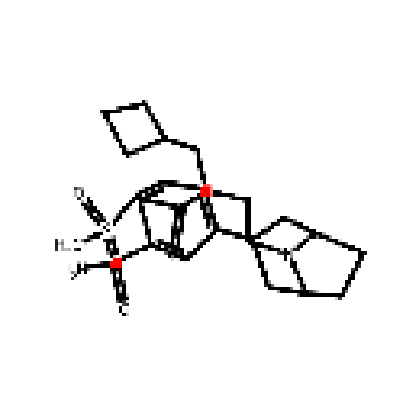 CS(=O)(=O)CC(=O)N(CCN1C2CCC1CC(c1cccc(C(N)=O)c1)C2)CC1CCC1